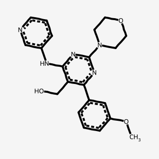 COc1cccc(-c2nc(N3CCOCC3)nc(Nc3cccnc3)c2CO)c1